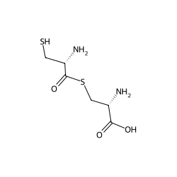 N[C@@H](CSC(=O)[C@@H](N)CS)C(=O)O